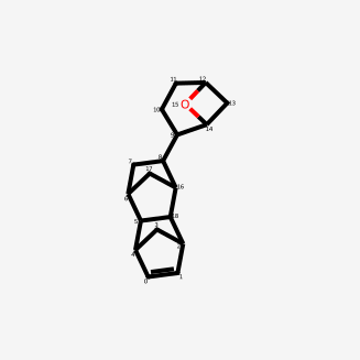 C1=CC2CC1C1C3CC(C4CCC5CC4O5)C(C3)C21